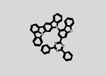 c1ccc(-c2nc(-c3ccccc3)nc(-c3cc(-n4c5ccccc5c5cc6c7cccc8c9ccccc9n(c6cc54)c87)c4c(c3)oc3ccccc34)n2)cc1